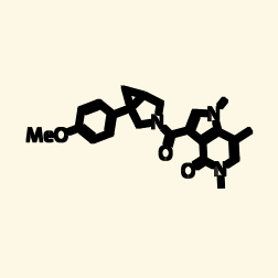 COc1ccc(C23CC2CN(C(=O)c2cn(C)c4c(C)cn(C)c(=O)c24)C3)cc1